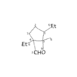 CCC1CCC(C=O)(CC)C1(C)C